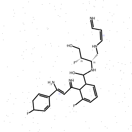 N=C/C=C\NC[C@H](NC(O)C1C=CC=C(F)C1C(=N)/C=C(\N)C1=CCC(F)C=C1)[C@H](F)CO